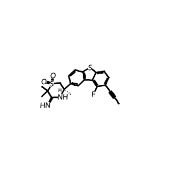 CC#Cc1ccc2sc3ccc([C@]4(C)CS(=O)(=O)C(C)(C)C(=N)N4)cc3c2c1F